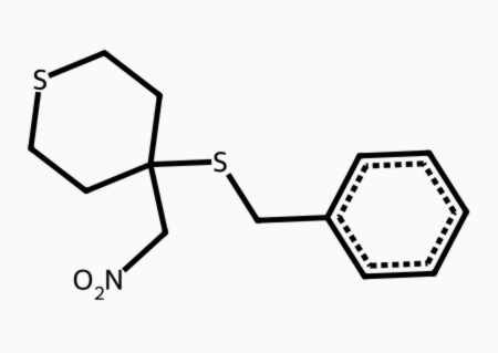 O=[N+]([O-])CC1(SCc2ccccc2)CCSCC1